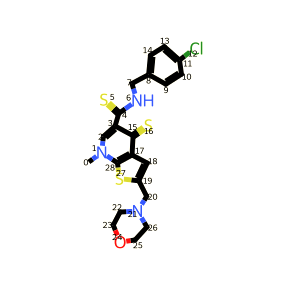 Cn1cc(C(=S)NCc2ccc(Cl)cc2)c(=S)c2cc(CN3CCOCC3)sc21